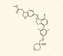 COC(=O)CC1COc2cc(O[C@@H]3CCc4c(-c5c(C)cc(OCC6(O)CCOCC6)cc5C)ccc(F)c43)ccc21